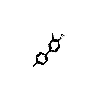 Cc1ccc(-c2ccc(Br)c(C)c2)cc1